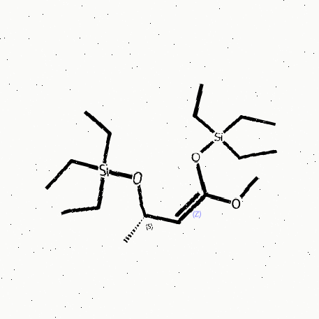 CC[Si](CC)(CC)O/C(=C\[C@H](C)O[Si](CC)(CC)CC)OC